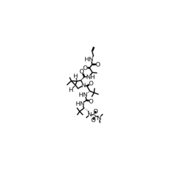 C=CCNC(=O)C(=O)C(C)NC(=O)[C@@H]1[C@@H]2[C@H](CN1C(=O)[C@@H](NC(=O)N[C@H](CN(C)S(=O)(=O)N(C)C)C(C)(C)C)C(C)(C)C)C2(C)C